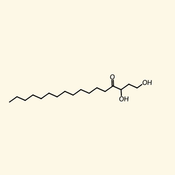 CCCCCCCCCCCCCC(=O)C(O)CCO